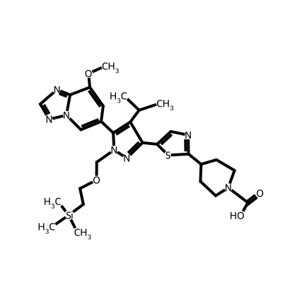 COc1cc(-c2c(C(C)C)c(-c3cnc(C4CCN(C(=O)O)CC4)s3)nn2COCC[Si](C)(C)C)cn2ncnc12